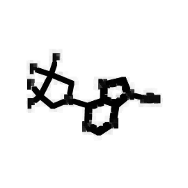 CCCCn1cnc2c(N3CC(F)(F)C(F)(F)C3)ncnc21